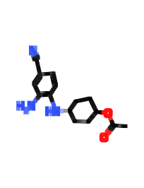 CC(=O)O[C@H]1CC[C@H](Nc2ccc(C#N)cc2N)CC1